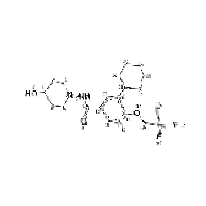 O=C(NN1CCC(O)CC1)c1cnc(OCC(F)(F)F)c(C2CCCCC2)c1